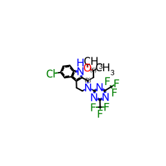 CO[C@@H](C)C[C@@H]1c2[nH]c3ccc(Cl)cc3c2CCN1c1nc(C(F)(F)F)nc(C(F)(F)F)n1